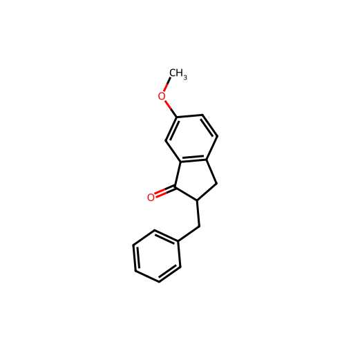 COc1ccc2c(c1)C(=O)C(Cc1ccccc1)C2